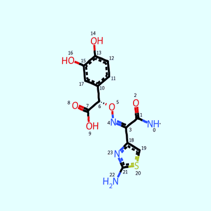 [NH]C(=O)/C(=N\O[C@H](C(=O)O)c1ccc(O)c(O)c1)c1csc(N)n1